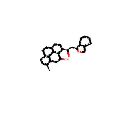 Cc1ccc2ccc3ccc(C(=O)Cc4occ5ccccc45)c4c(O)cc1c2c34